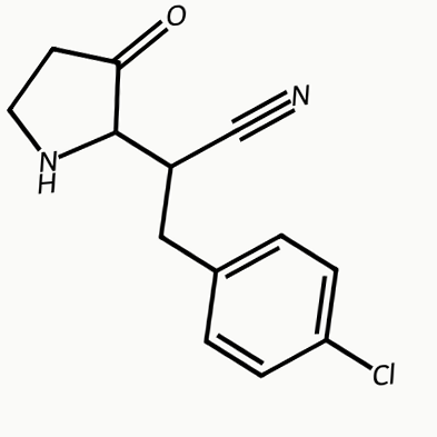 N#CC(Cc1ccc(Cl)cc1)C1NCCC1=O